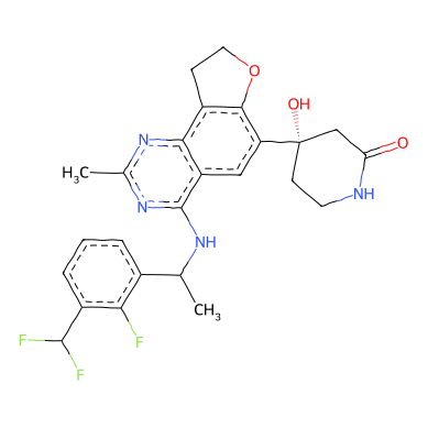 Cc1nc(NC(C)c2cccc(C(F)F)c2F)c2cc([C@]3(O)CCNC(=O)C3)c3c(c2n1)CCO3